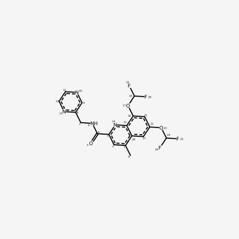 Cc1cc(C(=O)NCc2cnccn2)nc2c(OC(F)F)cc(OC(F)F)cc12